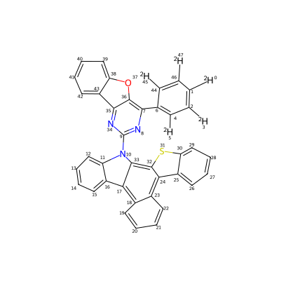 [2H]c1c([2H])c([2H])c(-c2nc(-n3c4ccccc4c4c5ccccc5c5c6ccccc6sc5c43)nc3c2oc2ccccc23)c([2H])c1[2H]